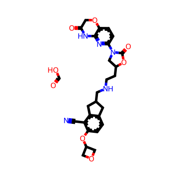 N#Cc1c(OC2COC2)ccc2c1CC(CNCCC1CN(c3ccc4c(n3)NC(=O)CO4)C(=O)O1)C2.O=CO